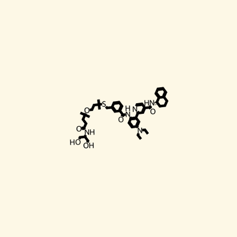 CCN(CC)c1ccc(NC(=O)c2cccc(CSC(C)(C)CCOC(C)(C)CCC(=O)NC(CO)CO)c2)c(-c2cc(C(=O)N[C@H]3CCCc4ccccc43)ccn2)c1